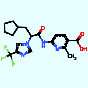 Cc1nc(NC(=O)C(CC2CCCC2)n2cnc(C(F)(F)F)c2)ccc1C(=O)O